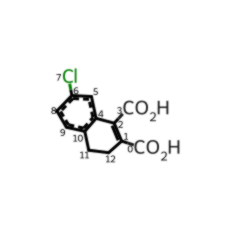 O=C(O)C1=C(C(=O)O)c2cc(Cl)ccc2CC1